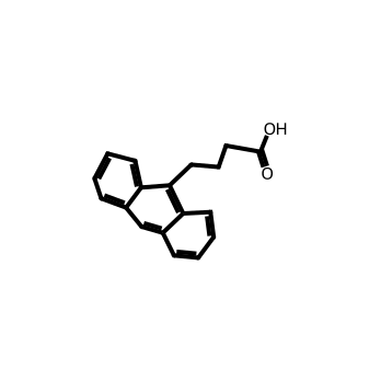 O=C(O)CCCc1c2ccccc2cc2ccccc12